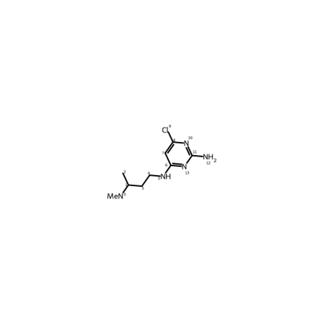 CNC(C)CCNc1cc(Cl)nc(N)n1